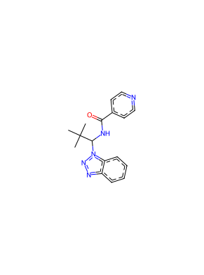 CC(C)(C)C(NC(=O)c1ccncc1)n1nnc2ccccc21